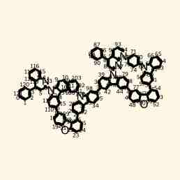 c1ccc(-c2cc(-n3c4ccccc4c4cc(-c5ccc6oc7cccc(-c8ccc9c(c8)c8ccc(-c%10ccc%11c(c%10)c%10cc(-c%12ccc%13oc%14cccc(-c%15ccc%16c(c%15)c%15ccccc%15n%16-c%15ccccc%15)c%14c%13c%12)ccc%10n%11-c%10cc(-c%11ccccc%11)c%11cccnc%11n%10)cc8n9-c8ccccc8)c7c6c5)ccc43)nc3ccccc23)cc1